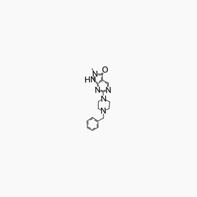 Cn1[nH]c2nc(N3CCN(Cc4ccccc4)CC3)ncc2c1=O